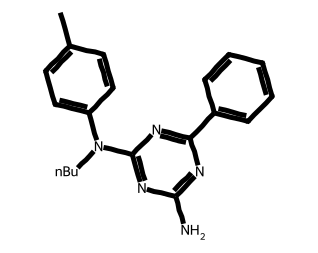 CCCCN(c1ccc(C)cc1)c1nc(N)nc(-c2ccccc2)n1